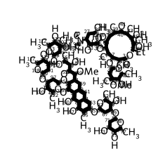 CC[C@H]1OC(=O)[C@H](C)[C@@H](O[C@H]2C[C@@](C)(OC)[C@@H](O)[C@H](C)O2)[C@H](C)[C@@H](O[C@@H]2O[C@H](C)C[C@H](N(C)C)[C@H]2O)[C@](C)(O)C[C@@H](C)C(=O)[C@H](C)[C@@H](O)[C@]1(C)O.CO[C@H](C(=O)[C@@H](O)[C@@H](C)O)C1Cc2cc3cc(O[C@H]4C[C@@H](O[C@H]5C[C@@H](O)[C@H](O)[C@@H](C)O5)[C@@H](O)[C@@H](C)O4)c(C)c(O)c3c(O)c2C(=O)[C@H]1O[C@H]1C[C@@H](O[C@H]2C[C@@H](O[C@H]3C[C@](C)(O)[C@H](O)[C@@H](C)O3)[C@H](O)[C@@H](C)O2)[C@H](O)[C@@H](C)O1